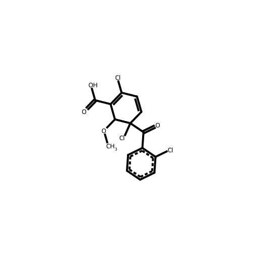 COC1C(C(=O)O)=C(Cl)C=CC1(Cl)C(=O)c1ccccc1Cl